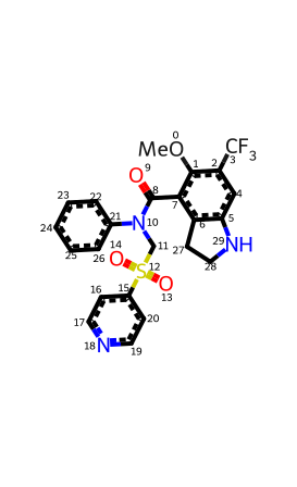 COc1c(C(F)(F)F)cc2c(c1C(=O)N(CS(=O)(=O)c1ccncc1)c1ccccc1)CCN2